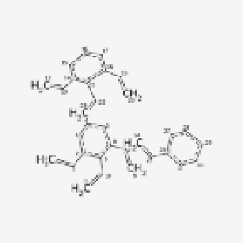 C=Cc1cccc(C=C)c1C=C.C=Cc1cccc(C=C)c1C=C.C=Cc1ccccc1